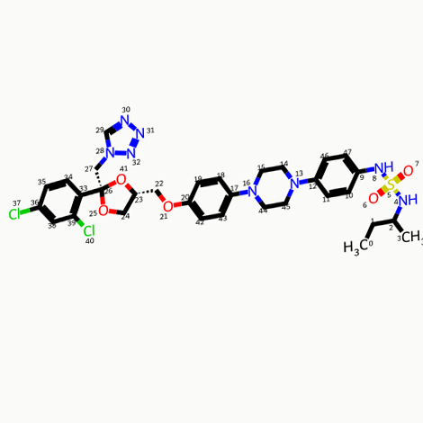 CCC(C)NS(=O)(=O)Nc1ccc(N2CCN(c3ccc(OC[C@@H]4CO[C@@](Cn5cnnn5)(c5ccc(Cl)cc5Cl)O4)cc3)CC2)cc1